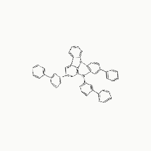 c1ccc(-c2cccc(-c3cc4c5c(c3)N(c3cccc(-c6ccccc6)c3)c3cc(-c6ccccc6)ccc3B5c3ccccc3-4)c2)cc1